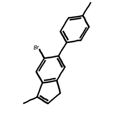 CC1=CCc2cc(-c3ccc(C)cc3)c(Br)cc21